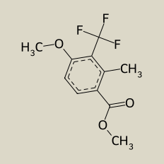 COC(=O)c1ccc(OC)c(C(F)(F)F)c1C